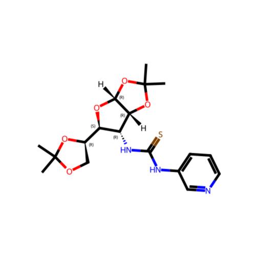 CC1(C)O[C@H]2O[C@H]([C@H]3COC(C)(C)O3)[C@@H](NC(=S)Nc3cccnc3)[C@H]2O1